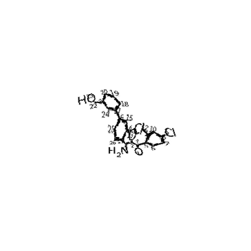 Nc1c(C(=O)c2ccc(Cl)cc2Cl)oc2cc(-c3cccc(CO)c3)ccc12